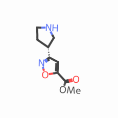 COC(=O)c1cc([C@@H]2CCNC2)no1